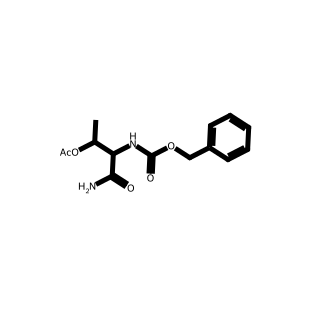 CC(=O)OC(C)C(NC(=O)OCc1ccccc1)C(N)=O